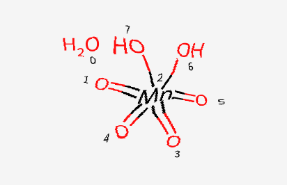 O.[O]=[Mn](=[O])(=[O])(=[O])([OH])[OH]